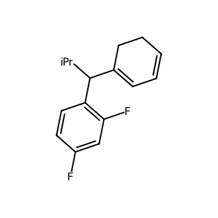 CC(C)C(C1=CC=CCC1)c1ccc(F)cc1F